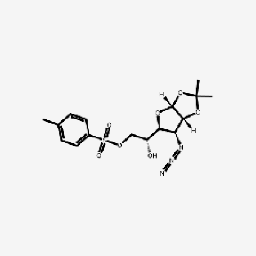 Cc1ccc(S(=O)(=O)OC[C@@H](O)[C@H]2O[C@@H]3OC(C)(C)O[C@@H]3[C@H]2N=[N+]=[N-])cc1